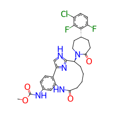 COC(=O)Nc1ccc2c(c1)NC(=O)CCCC[C@H](N1CC[C@H](c3c(F)ccc(Cl)c3F)CCC1=O)c1nc-2c[nH]1